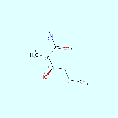 CCC[C@@H](O)[C@H](C)C(N)=O